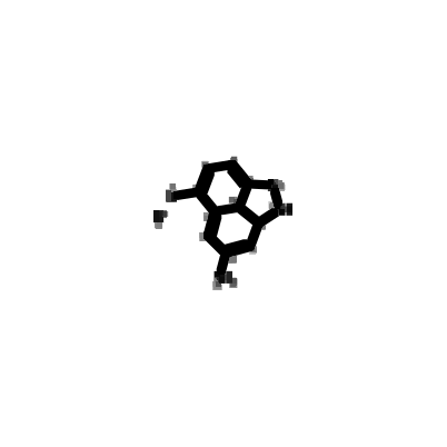 [K+].[Li][C]1=CC=C2[N-]NC3C=C(N)C=C1C23